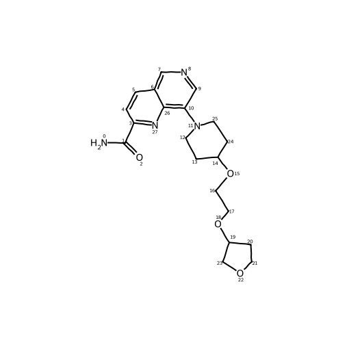 NC(=O)c1ccc2cncc(N3CCC(OCCOC4CCOC4)CC3)c2n1